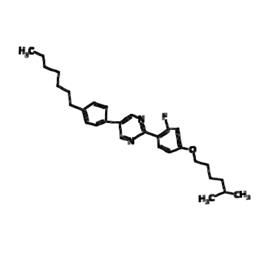 CCCCCCCc1ccc(-c2cnc(-c3ccc(OCCCCC(C)C)cc3F)nc2)cc1